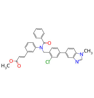 COC(=O)/C=C/c1cccc(N(Cc2ccc(-c3ccc4c(c3)ncn4C)cc2Cl)C(=O)c2ccccc2)c1